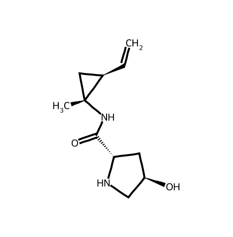 C=C[C@@H]1C[C@@]1(C)NC(=O)[C@@H]1C[C@@H](O)CN1